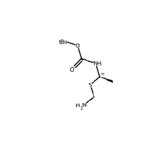 C[C@H](NC(=O)OC(C)(C)C)SCN